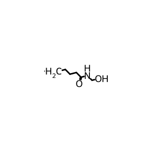 [CH2]CCCC(=O)NCO